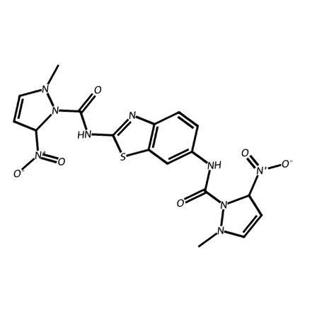 CN1C=CC([N+](=O)[O-])N1C(=O)Nc1ccc2nc(NC(=O)N3C([N+](=O)[O-])C=CN3C)sc2c1